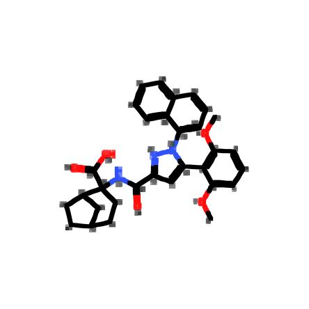 COc1cccc(OC)c1-c1cc(C(=O)NC2(C(=O)O)CCC3CCC2C3)nn1-c1cccc2ccccc12